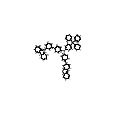 c1ccc(C2(c3ccccc3)c3ccccc3-c3cc(N(c4ccc(-c5cccc(-n6c7ccccc7c7ccccc76)c5)cc4)c4ccc(-c5ccc6c(c5)sc5ccccc56)cc4)ccc32)cc1